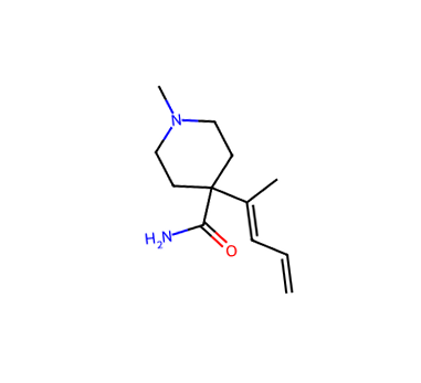 C=C/C=C(\C)C1(C(N)=O)CCN(C)CC1